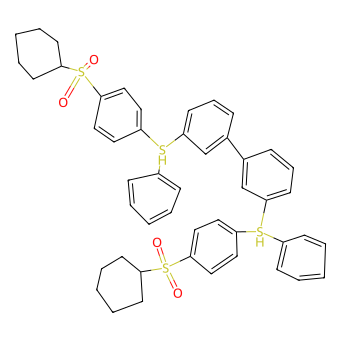 O=S(=O)(c1ccc([SH](c2ccccc2)c2cccc(-c3cccc([SH](c4ccccc4)c4ccc(S(=O)(=O)C5CCCCC5)cc4)c3)c2)cc1)C1CCCCC1